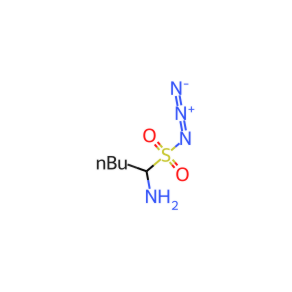 CCCCC(N)S(=O)(=O)N=[N+]=[N-]